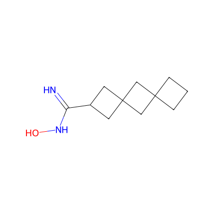 N=C(NO)C1CC2(C1)CC1(CCC1)C2